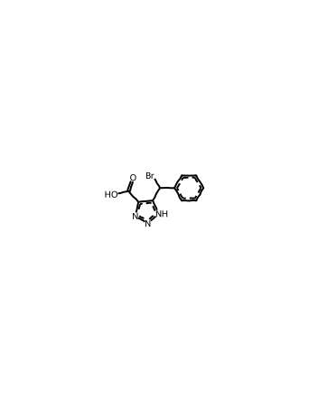 O=C(O)c1nn[nH]c1C(Br)c1ccccc1